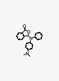 CN(C)c1ccc(N(c2ccccc2)C2OC(=O)c3ccccc32)cc1